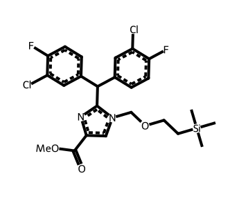 COC(=O)c1cn(COCC[Si](C)(C)C)c(C(c2ccc(F)c(Cl)c2)c2ccc(F)c(Cl)c2)n1